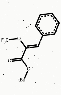 CC(C)(C)OC(=O)C(=Cc1ccccc1)OC(F)(F)F